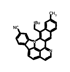 Cc1ccc2cc3c4nccc5ccc6c7ccc(C#N)cc7n(c3c(CC(C)(C)C)c2c1)c6c54